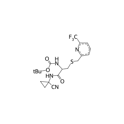 CC(C)(C)OC(=O)NC(CSCc1cccc(C(F)(F)F)n1)C(=O)NC1(C#N)CC1